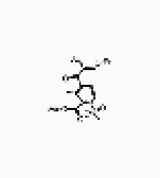 CCOC=C(C(C)=O)C(=O)c1ccc(S(C)(=O)=O)c(C(=O)OC)c1C